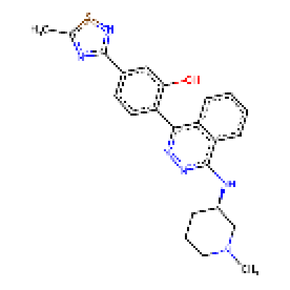 Cc1nc(-c2ccc(-c3nnc(N[C@@H]4CCCN(C)C4)c4ccccc34)c(O)c2)ns1